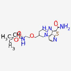 CC(C)(C)OC(=O)NCCOCC1CCCN(c2ccnc3sc(C(N)=O)c(N)c23)C1